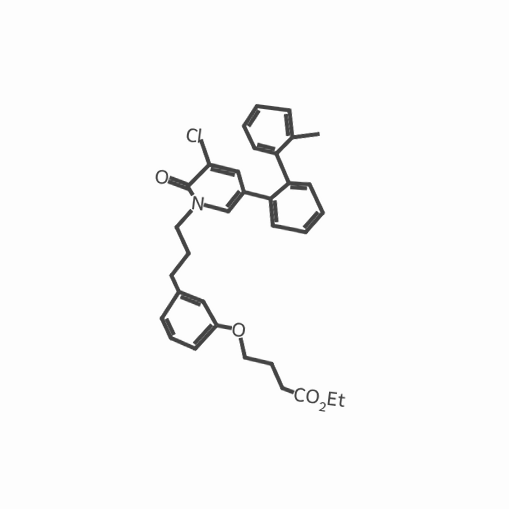 CCOC(=O)CCCOc1cccc(CCCn2cc(-c3ccccc3-c3ccccc3C)cc(Cl)c2=O)c1